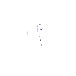 CCCCCCC(C)N1CCCOC1=O